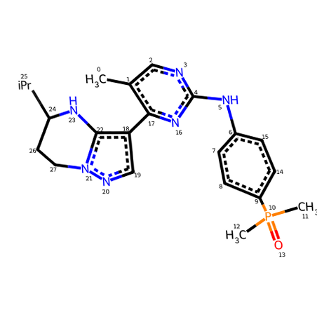 Cc1cnc(Nc2ccc(P(C)(C)=O)cc2)nc1-c1cnn2c1NC(C(C)C)CC2